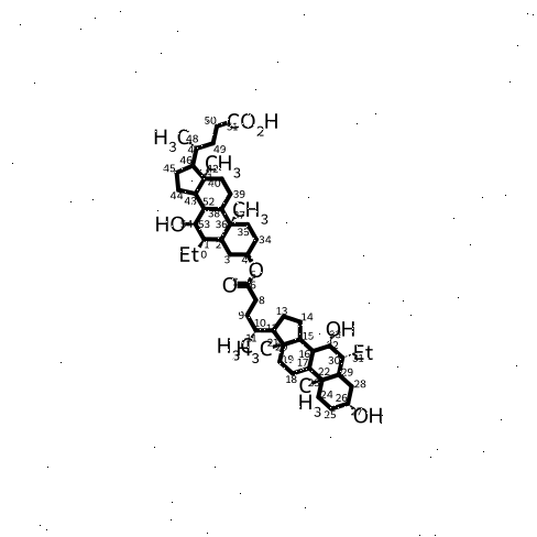 CC[C@@H]1C2CC(OC(=O)CC[C@@H](C)C3CCC4C5C(CC[C@@]43C)[C@@]3(C)CC[C@@H](O)CC3[C@@H](CC)[C@H]5O)CC[C@]2(C)C2CC[C@@]3(C)C(CCC3[C@H](C)CCC(=O)O)C2[C@@H]1O